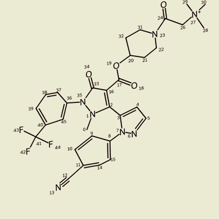 Cn1c(-c2ccnn2-c2ccc(C#N)cc2)c(C(=O)OC2CCN(C(=O)C[N+](C)(C)C)CC2)c(=O)n1-c1cccc(C(F)(F)F)c1